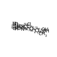 CC(CO)(CO)c1ccc(-c2ccc(-c3nc4nc(OC5CO[C@@H]6CCO[C@H]56)[nH]c4cc3Cl)cc2)cc1